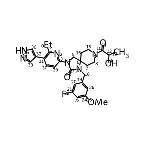 CCc1nc(N2CC3(CCN(C(=O)C(C)O)CC3)N(Cc3cc(F)cc(OC)c3)C2=O)ccc1-c1cn[nH]c1